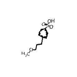 COCCCc1ccc(S(=O)(=O)O)cc1